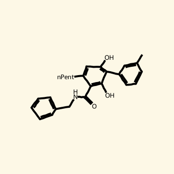 CCCCCc1cc(O)c(-c2cccc(C)c2)c(O)c1C(=O)NCc1ccccc1